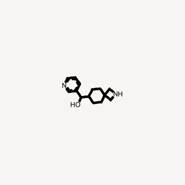 OC(c1cccnc1)C1CCC2(CC1)CNC2